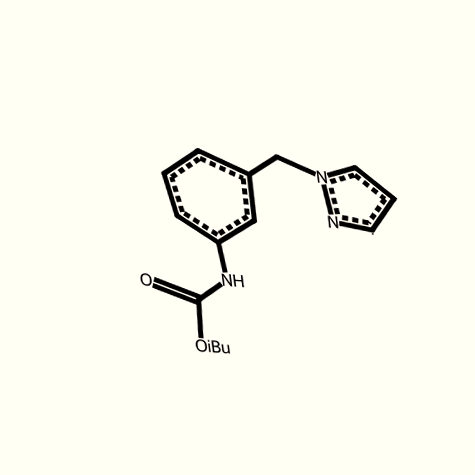 CC(C)COC(=O)Nc1cccc(Cn2cc[c]n2)c1